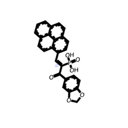 O=C(/C(=C/c1ccc2ccc3cccc4ccc1c2c34)P(=O)(O)O)c1ccc2c(c1)OCO2